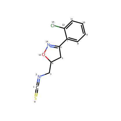 S=C=NCC1CC(c2ccccc2Cl)=NO1